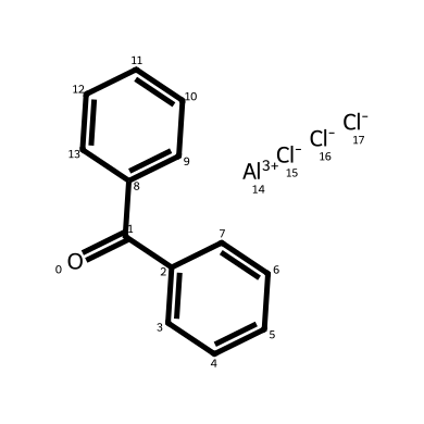 O=C(c1ccccc1)c1ccccc1.[Al+3].[Cl-].[Cl-].[Cl-]